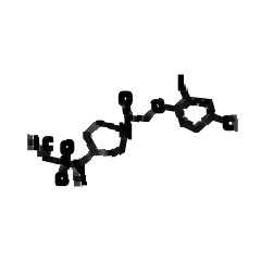 C=CS(=O)(=O)NC1CCN(C(=O)COc2ccc(Cl)cc2I)CC1